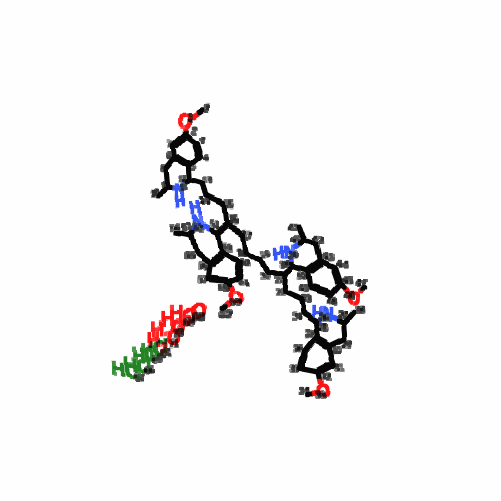 COc1ccc2c(c1)CC(C)NC2CCCC(CCCCC(CCCC1NC(C)Cc2cc(OC)ccc21)C1NC(C)Cc2cc(OC)ccc21)C1NC(C)Cc2cc(OC)ccc21.Cl.Cl.Cl.Cl.O.O.O.O